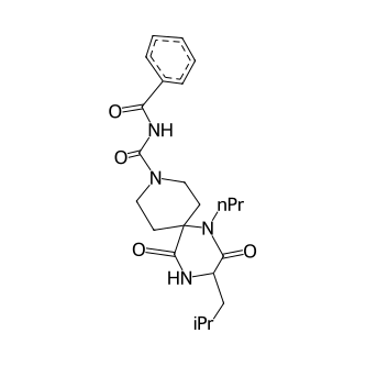 CCCN1C(=O)C(CC(C)C)NC(=O)C12CCN(C(=O)NC(=O)c1ccccc1)CC2